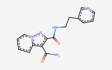 NC(=O)c1c(C(=O)NCCc2cccnc2)nn2ccccc12